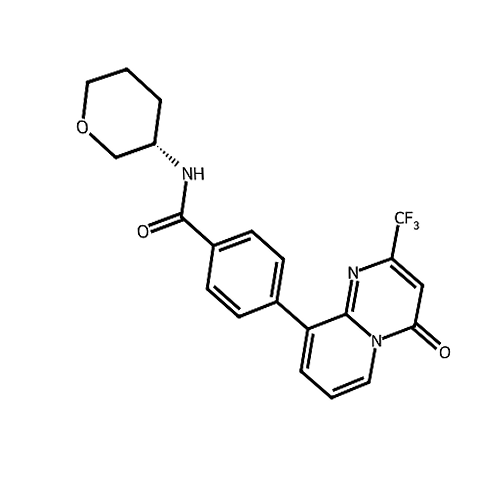 O=C(N[C@H]1CCCOC1)c1ccc(-c2cccn3c(=O)cc(C(F)(F)F)nc23)cc1